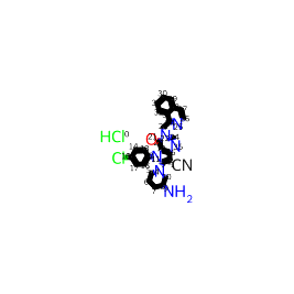 Cl.N#Cc1c(N2CCCC(N)C2)n(-c2ccc(Cl)cc2)c2c(=O)n(Cc3nccc4ccccc34)cnc12